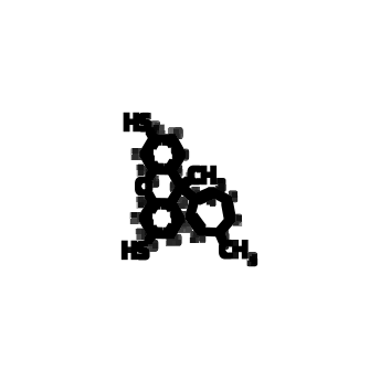 CC1C=CC=C(C2(C)c3ccc(S)cc3Oc3cc(S)ccc32)C=C1